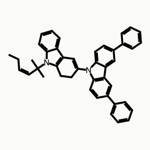 CC/C=C\C(C)(C)n1c2c(c3ccccc31)C=C(n1c3ccc(-c4ccccc4)cc3c3cc(-c4ccccc4)ccc31)CC2